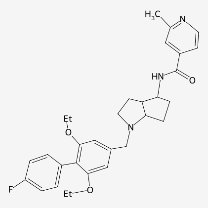 CCOc1cc(CN2CCC3C(NC(=O)c4ccnc(C)c4)CCC32)cc(OCC)c1-c1ccc(F)cc1